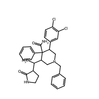 CC(C1CCNC1=O)C1CN(Cc2ccccc2)CC(c2ccc(Cl)c(Cl)c2)C1(C(N)=O)c1ccccc1